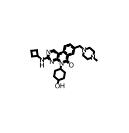 CN1CCN(Cc2ccc3c(c2)c(=O)n(C2CCC(O)CC2)c2nc(NC4CCC4)ncc32)CC1